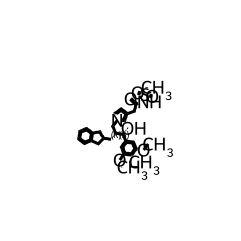 COc1cc([C@@H](O)[C@H](CC2Cc3ccccc3C2)Cn2ccc(CC(=O)NS(C)(=O)=O)c2)cc(OC)c1C